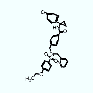 CCOc1ccc(S(=O)(=O)N(Cc2ccc(C(=O)NC3(c4ccc(Cl)cc4)CC3)cc2)Cc2ccccn2)cc1